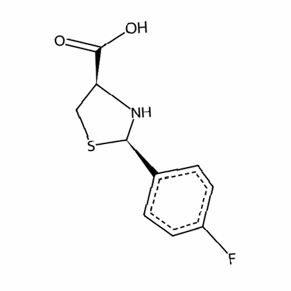 O=C(O)[C@@H]1CS[C@H](c2ccc(F)cc2)N1